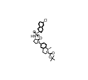 C[C@@H]1c2ccc(N3CC[C@H](NS(=O)(=O)c4ccc5cc(Cl)ccc5c4)C3=O)cc2CCN1C(=O)OC(C)(C)C